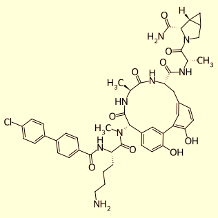 C[C@@H]1NC(=O)[C@@H](N(C)C(=O)[C@H](CCCCN)NC(=O)c2ccc(-c3ccc(Cl)cc3)cc2)c2ccc(O)c(c2)-c2cc(ccc2O)C[C@@H](C(=O)N[C@@H](C)C(=O)N2CC3C[C@H]3[C@H]2C(N)=O)NC1=O